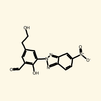 O=Cc1cc(CCO)cc(-n2nc3ccc([N+](=O)[O-])cc3n2)c1O